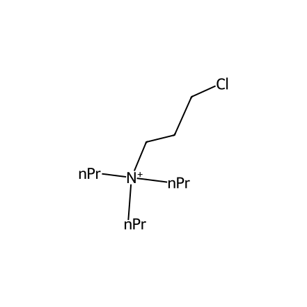 CCC[N+](CCC)(CCC)CCCCl